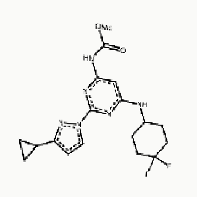 COC(=O)Nc1cc(NC2CCC(F)(F)CC2)nc(-n2ccc(C3CC3)n2)n1